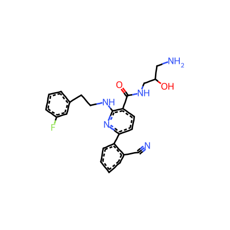 N#Cc1ccccc1-c1ccc(C(=O)NCC(O)CN)c(NCCc2cccc(F)c2)n1